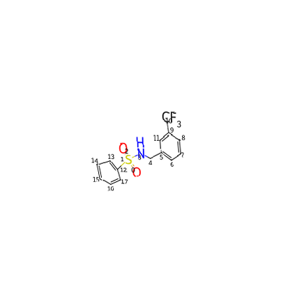 O=S(=O)(NCc1cccc(C(F)(F)F)c1)c1ccccc1